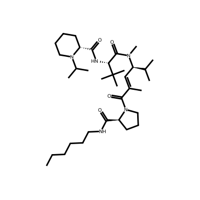 CCCCCCNC(=O)[C@@H]1CCCN1C(=O)/C(C)=C/[C@H](C(C)C)N(C)C(=O)[C@@H](NC(=O)[C@H]1CCCCN1C(C)C)C(C)(C)C